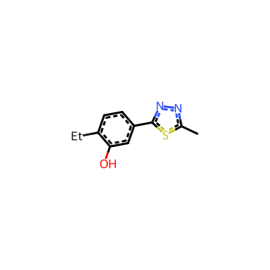 CCc1ccc(-c2nnc(C)s2)cc1O